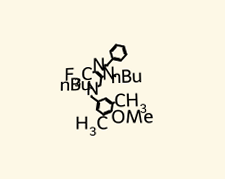 CCCCN(Cc1cc(C)c(OC)c(C)c1)Cc1c(C(F)(F)F)nc(-c2ccccc2)n1CCCC